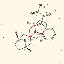 NC(=O)C(=O)c1cn([C@H]2C[C@H]3CC[C@@H](C2)N3[C@H]2C[C@@H]3CCC[C@@H](C3)C2)c2ccccc12